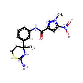 Cn1nc(C(=O)Nc2cccc(C3(C)CCSC(N)=N3)c2)cc1[N+](=O)[O-]